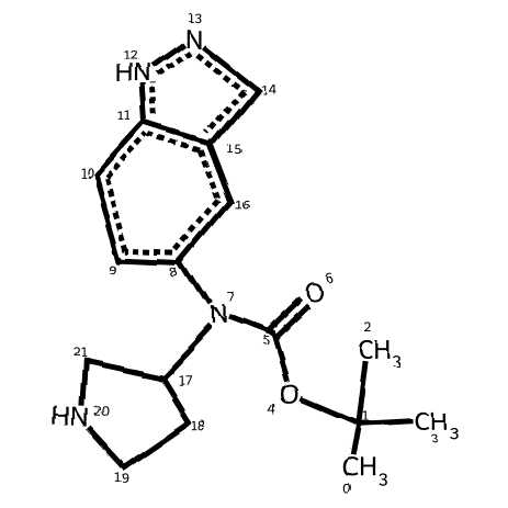 CC(C)(C)OC(=O)N(c1ccc2[nH]ncc2c1)C1CCNC1